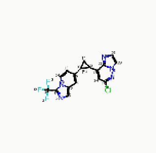 FC(F)(F)c1ncc2cc([C@H]3CC3c3cc(Cl)nn4ccnc34)ccn12